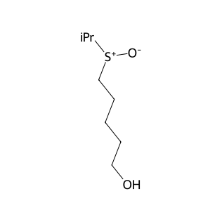 CC(C)[S+]([O-])CCCCCO